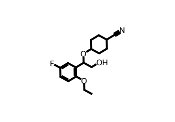 CCOc1ccc(F)cc1C(CO)OC1CCC(C#N)CC1